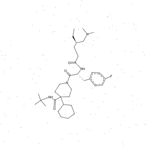 CC[C@H](CCC(=O)N[C@H](Cc1ccc(F)cc1)C(=O)N1CCC(C(=O)NC(C)(C)C)(C2CCCCC2)CC1)CN(C)C